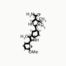 COc1cccc(-c2[nH]c3ccc(C4=NC(C)(C)C(C(N)=O)=CN4)cc3c2C)n1